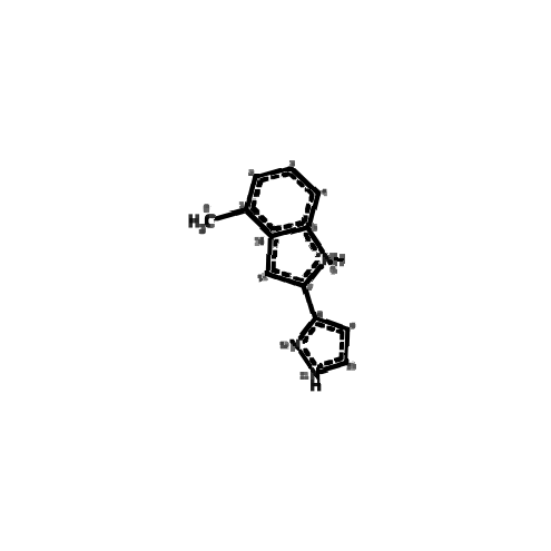 Cc1cccc2[nH]c(-c3cc[nH]n3)cc12